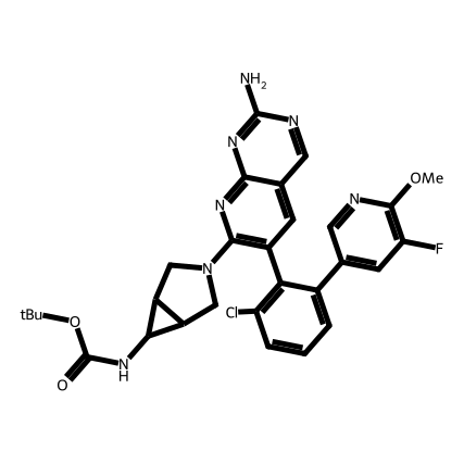 COc1ncc(-c2cccc(Cl)c2-c2cc3cnc(N)nc3nc2N2CC3C(C2)C3NC(=O)OC(C)(C)C)cc1F